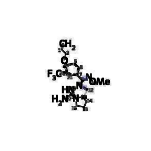 C=CCOc1ccc(C(=N/OC)/N=C/[C@@H]2CCCN2C(=N)N)cc1C(F)(F)F